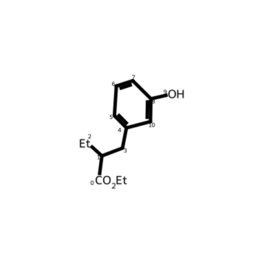 CCOC(=O)C(CC)Cc1cccc(O)c1